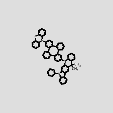 CC1(C)c2ccccc2N(c2ccc3c(c2)-c2ccccc2-c2ccc(N4c5ccccc5Sc5ccccc54)cc2-c2ccccc2-3)c2cc3c(cc21)c1ccccc1n3-c1ccccc1